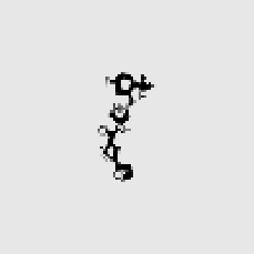 O=C(Nc1cnn(Cc2cc(F)ccc2C(F)(F)F)c1)c1cc(-c2ccco2)on1